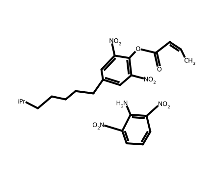 C/C=C\C(=O)Oc1c([N+](=O)[O-])cc(CCCCCC(C)C)cc1[N+](=O)[O-].Nc1c([N+](=O)[O-])cccc1[N+](=O)[O-]